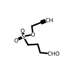 C#CCOS(=O)(=O)CCCC=O